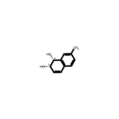 Cc1ccc2c(c1)[C@@H](O)[C@@H](O)C=C2